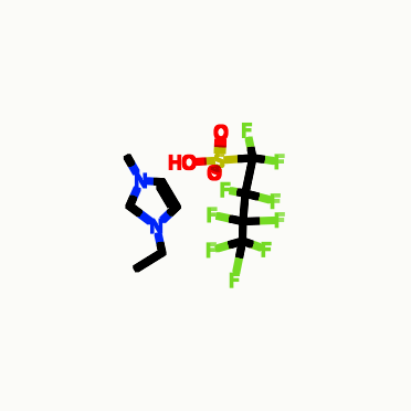 CCN1C=CN(C)C1.O=S(=O)(O)C(F)(F)C(F)(F)C(F)(F)C(F)(F)F